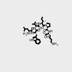 CC[C@H](C)[C@H](NC(=O)[C@@H](NC(=O)[C@H](Cc1c[nH]c2ccccc12)NC(=O)[C@@H](N)CC(C)C)C(C)C)C(=O)N1CCC[C@H]1C(=O)N[C@@H](CCCCN)C(=O)O